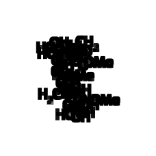 C=C1C[C@H]2C(O)N(C(=O)OCc3ccc(O[C@@H]4O[C@H](CO)[C@H](O)[C@H](O)[C@H]4O)c(C(=O)NCCON)c3)c3cc(OCCCCCOc4cc5c(cc4OC)C(=O)N4CC(=C)C[C@H]4C(O)N5C(=O)OCc4ccc(O[C@@H]5O[C@H](CO)[C@H](O)[C@H](O)[C@H]5O)c(C(O)NCCOC)c4)c(OC)cc3C(=O)N2C1